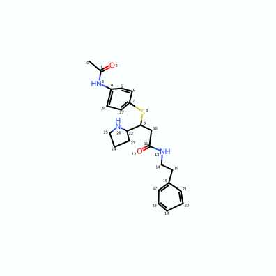 CC(=O)Nc1ccc(SC(CC(=O)NCCc2ccccc2)C2CCCN2)cc1